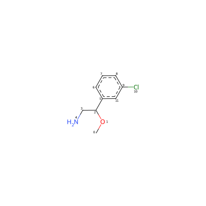 COC(CN)c1cccc(Cl)c1